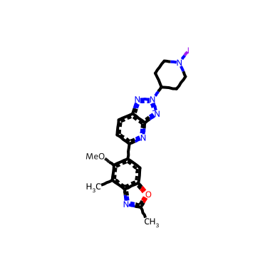 COc1c(-c2ccc3nn(C4CCN(I)CC4)nc3n2)cc2oc(C)nc2c1C